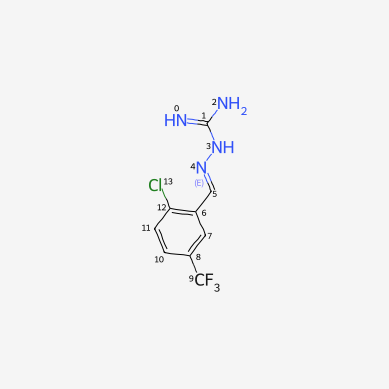 N=C(N)N/N=C/c1cc(C(F)(F)F)ccc1Cl